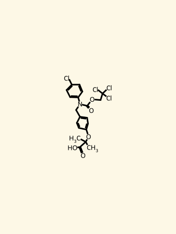 CC(C)(Oc1ccc(CN(C(=O)OCC(Cl)(Cl)Cl)c2ccc(Cl)cc2)cc1)C(=O)O